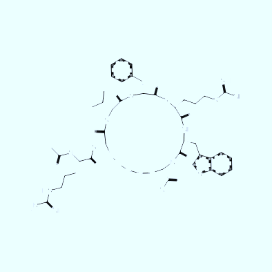 CC(=O)N[C@@H](CCCNC(=N)N)C(=O)N[C@H]1CCSSC[C@@H](C(N)=O)NC(=O)[C@H](Cc2c[nH]c3ccccc23)NC(=O)[C@H](CCCNC(=N)N)NC(=O)[C@@H](Cc2ccccc2)NC(=O)[C@@H](C(C)C)NC1=O